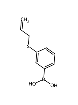 C=CCSc1cccc(B(O)O)c1